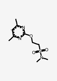 Cc1[c]c(C)nc(OCCS(=O)(=O)N(C)C)n1